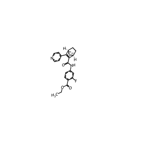 CCOC(=O)c1ccc(NC(=O)C2=C(c3ccncc3)[C@H]3CC[C@@H]2O3)cc1F